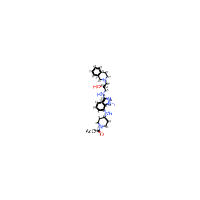 CC(=O)OC(=O)N1CCC(Nc2cccc3c(NC[C@H](O)CN4CCc5ccccc5C4)n[nH]c23)CC1